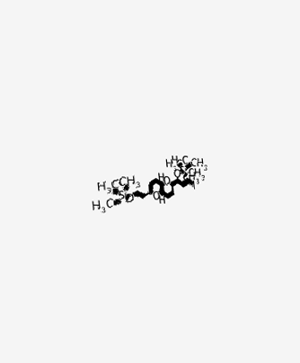 CC[Si](CC)(CC)OCC[C@H]1CC[C@@H]2O[C@@H]([C@H](/C=C/I)O[Si](C)(C)C(C)(C)C)CC[C@H]2O1